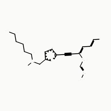 C/C=C/C=C(/C#Cc1ccc(CN(CCC)CCCCCF)o1)N/C=N/CC